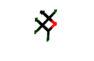 [2H]C1(F)OC(F)C1(F)F